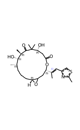 C/C(=C\c1csc(C)n1)[C@@H]1CC2O[C@@H]2CCC[C@H](C)[C@H](O)[C@@H](C)C(=O)C(C)(C)[C@H](O)CC(=O)O1